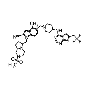 Cc1c(CN2CCC(Nc3ncnc4sc(CC(F)(F)F)cc34)CC2)ccc2c1cc(C#N)n2CC1CCC2CN(S(C)(=O)=O)CCN21